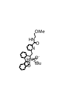 COCCNC(=O)c1cccc(CC(N[S@@+]([O-])C(C)(C)C)c2ccccc2-c2noc3ccccc23)n1